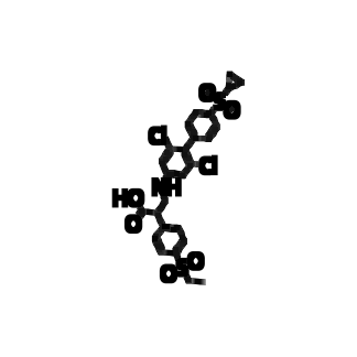 CCS(=O)(=O)c1ccc(C(CNc2cc(Cl)c(-c3ccc(S(=O)(=O)C4CC4)cc3)c(Cl)c2)C(=O)O)cc1